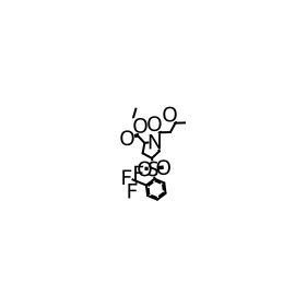 CCOC(=O)C1CC(S(=O)(=O)c2ccccc2C(F)(F)F)CN1C(=O)CC(C)=O